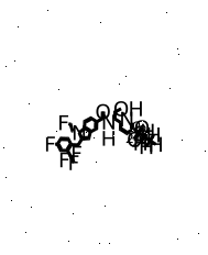 [2H]C([2H])([2H])C([2H])([2H])S(=O)(=O)c1ccc(C(CO)NC(=O)c2ccc3c(c2)cc(Cc2ccc(F)cc2C(F)(F)F)n3CCF)nc1